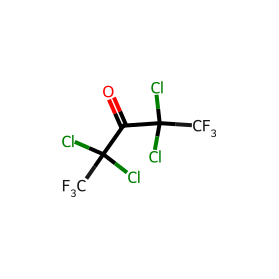 O=C(C(Cl)(Cl)C(F)(F)F)C(Cl)(Cl)C(F)(F)F